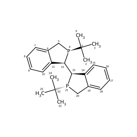 CC(C)(C)[P@]1Cc2ccccc2[C@@H]1[C@H]1c2ccccc2C[P@]1C(C)(C)C